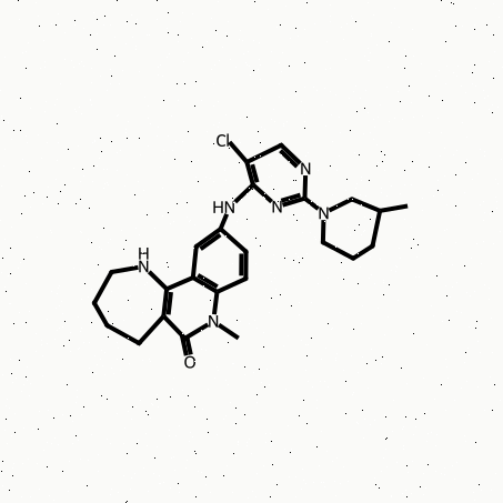 CC1CCCN(c2ncc(Cl)c(Nc3ccc4c(c3)c3c(c(=O)n4C)CCCCN3)n2)C1